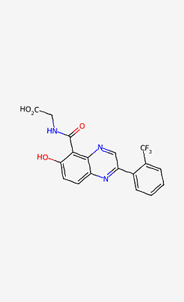 O=C(O)CNC(=O)c1c(O)ccc2nc(-c3ccccc3C(F)(F)F)cnc12